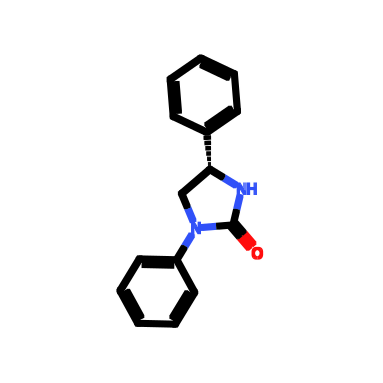 O=C1N[C@@H](c2ccccc2)CN1c1ccccc1